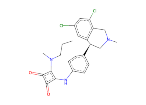 CCCN(C)c1c(Nc2ccc([C@@H]3CN(C)Cc4c(Cl)cc(Cl)cc43)cc2)c(=O)c1=O